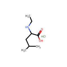 CCNC(CC(C)C)C(=O)O.Cl